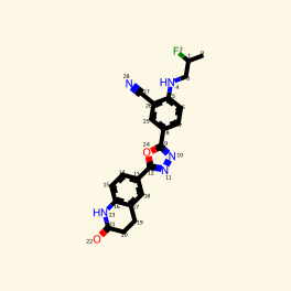 CC(F)CNc1ccc(-c2nnc(-c3ccc4c(c3)CCC(=O)N4)o2)cc1C#N